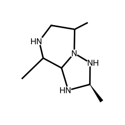 CC1NCC(C)N2N[C@@H](C)NC12